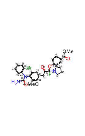 COC(=O)c1ccc(OC(F)(C(=O)Cc2ccc(N(C(N)=O)c3ccccc3Br)c(OC)c2)N2CCCC2)cc1